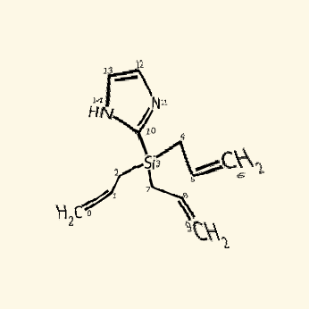 C=CC[Si](CC=C)(CC=C)c1ncc[nH]1